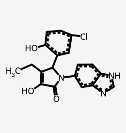 CCC1=C(O)C(=O)N(c2ccc3[nH]cnc3c2)C1c1cc(Cl)ccc1O